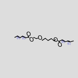 C/C=C/C=C/C(=O)OCCCCCOCCOC(=O)/C=C/C=C/C